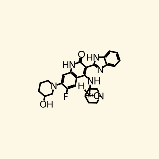 O=c1[nH]c2cc(N3CCCC(O)C3)c(F)cc2c(N[C@@H]2CN3CCC2CC3)c1-c1nc2ccccc2[nH]1